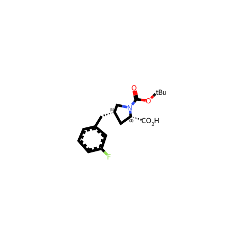 CC(C)(C)OC(=O)N1C[C@@H](Cc2cccc(F)c2)C[C@H]1C(=O)O